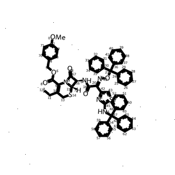 COc1ccc(COC(=O)C2=C(CI)CS[C@H]3[C@H](NC(=O)C(=NOC(c4ccccc4)(c4ccccc4)c4ccccc4)c4csc(NC(c5ccccc5)(c5ccccc5)c5ccccc5)n4)C(=O)N23)cc1